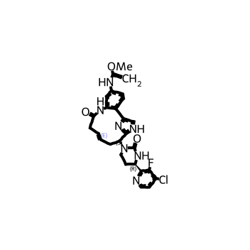 C=C(Nc1ccc2c(c1)NC(=O)C/C=C/C[C@H](N1CC[C@H](c3nccc(Cl)c3F)NC1=O)c1nc-2c[nH]1)OC